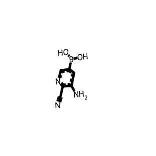 N#Cc1ncc(B(O)O)cc1N